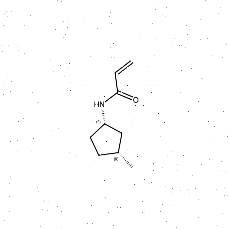 C=CC(=O)N[C@H]1CC[C@@H](C)C1